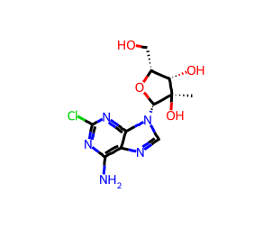 C[C@@]1(O)[C@@H](O)[C@@H](CO)O[C@H]1n1cnc2c(N)nc(Cl)nc21